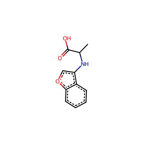 CC(Nc1coc2ccccc12)C(=O)O